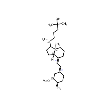 C=C1CC/C(=C/C=C2\CCC[C@]3(C)C([C@H](C)CCCC(C)(C)O)CC[C@@H]23)C[C@H]1OC